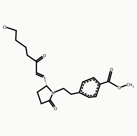 COC(=O)c1ccc(CCN2C(=O)CC[C@@H]2/C=C/C(=O)CCCCCl)cc1